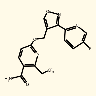 NC(=O)c1ccc(OCc2conc2-c2ccc(F)cn2)nc1CC(F)(F)F